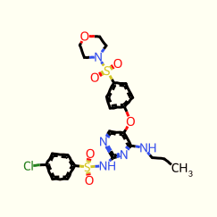 CCCNc1nc(NS(=O)(=O)c2ccc(Cl)cc2)ncc1Oc1ccc(S(=O)(=O)N2CCOCC2)cc1